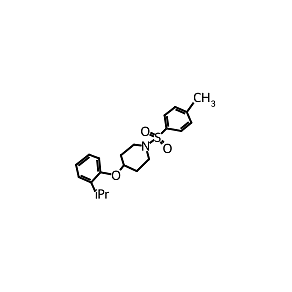 Cc1ccc(S(=O)(=O)N2CCC(Oc3ccccc3C(C)C)CC2)cc1